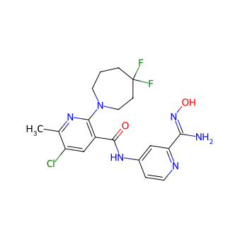 Cc1nc(N2CCCC(F)(F)CC2)c(C(=O)Nc2ccnc(C(N)=NO)c2)cc1Cl